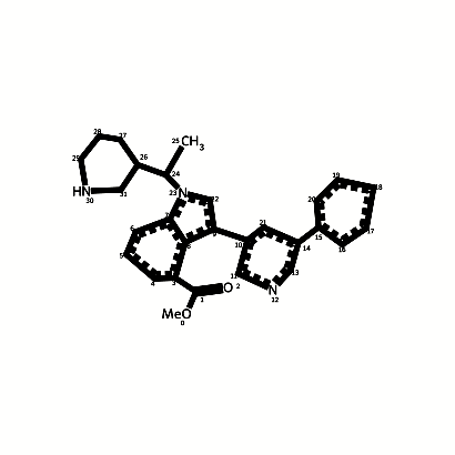 COC(=O)c1cccc2c1c(-c1cncc(-c3ccccc3)c1)cn2C(C)C1CCCNC1